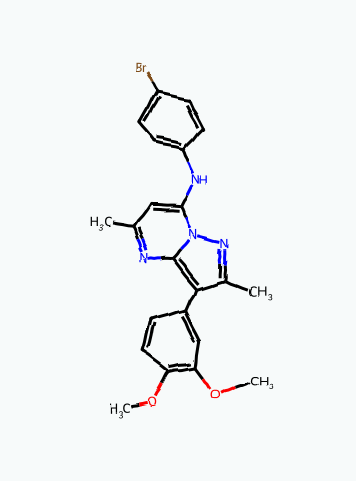 COc1ccc(-c2c(C)nn3c(Nc4ccc(Br)cc4)cc(C)nc23)cc1OC